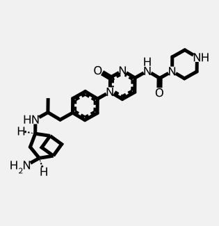 CC(Cc1ccc(-n2ccc(NC(=O)N3CCNCC3)nc2=O)cc1)N[C@@H]1C[C@H](N)C2CC1C2